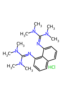 CN(C)C(=Nc1cccc2cccc(N=C(N(C)C)N(C)C)c12)N(C)C.Cl